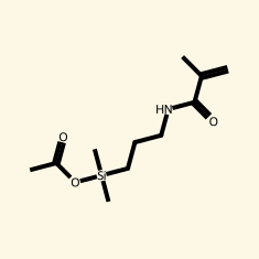 C=C(C)C(=O)NCCC[Si](C)(C)OC(C)=O